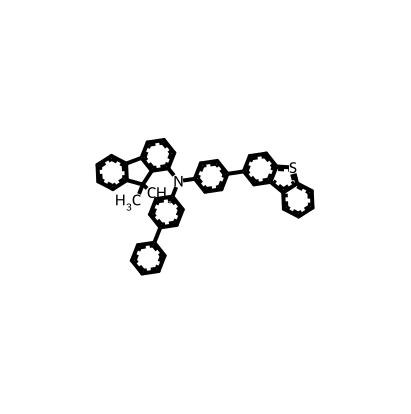 CC1(C)c2ccccc2-c2cccc(N(c3ccc(-c4ccccc4)cc3)c3ccc(-c4ccc5sc6ccccc6c5c4)cc3)c21